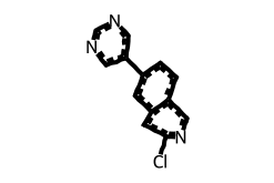 Clc1cc2cc(-c3cncnc3)ccc2cn1